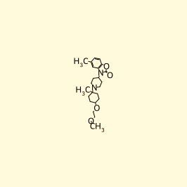 COCCOC1CCC(C)(N2CCC(n3c(=O)oc4ccc(C)cc43)CC2)CC1